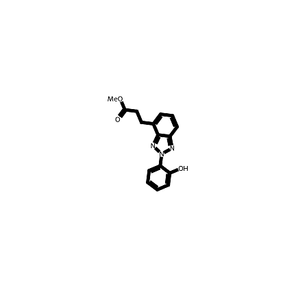 COC(=O)CCc1cccc2nn(-c3ccccc3O)nc12